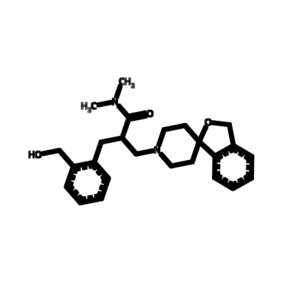 CN(C)C(=O)C(Cc1ccccc1CO)CN1CCC2(CC1)OCc1ccccc12